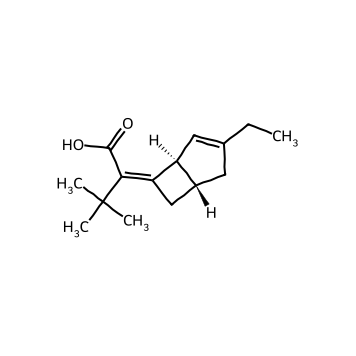 CCC1=C[C@@H]2C(=C(C(=O)O)C(C)(C)C)C[C@H]2C1